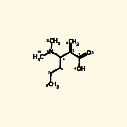 C=C(C(=O)O)C(CCC)N(C)C